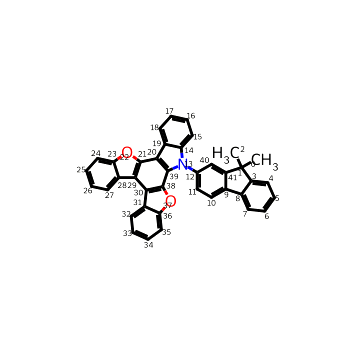 CC1(C)c2ccccc2-c2ccc(-n3c4ccccc4c4c5oc6ccccc6c5c5c6ccccc6oc5c43)cc21